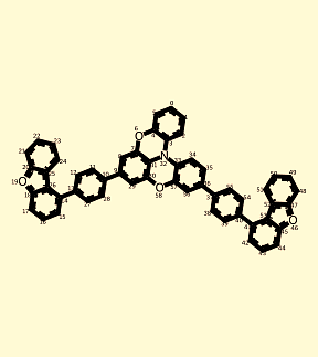 c1ccc2c(c1)Oc1cc(-c3ccc(-c4cccc5oc6ccccc6c45)cc3)cc3c1N2c1ccc(-c2ccc(-c4cccc5oc6ccccc6c45)cc2)cc1O3